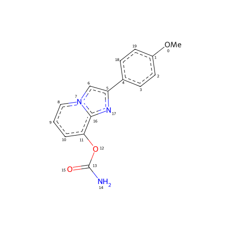 COc1ccc(-c2cn3cccc(OC(N)=O)c3n2)cc1